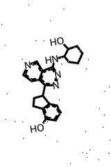 Oc1cccc2c1CCC2c1nnc(NC2CCCCC2O)c2cnccc12